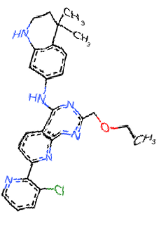 CCOCc1nc(Nc2ccc3c(c2)NCCC3(C)C)c2ccc(-c3ncccc3Cl)nc2n1